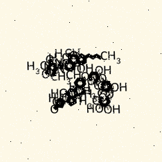 CCCCCc1cc(O)c2c(c1)OC(C)(C)[C@@H]1CCC(C)=C[C@@H]21.C[C@H]1O[C@@H](O[C@H]2[C@@H](O)C[C@H](O[C@H]3[C@@H](O)C[C@H](O[C@H]4CC[C@@]5(C)[C@H](CC[C@@H]6[C@@H]5C[C@@H](O)[C@]5(C)[C@@H](C7=CC(=O)OC7)CC[C@]65O)C4)O[C@@H]3C)O[C@@H]2C)C[C@H](O)[C@@H]1O.Cn1c(=O)c2[nH]cnc2n(C)c1=O